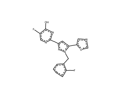 Oc1nc(-c2cc(-c3cnco3)n(Cc3ccccc3F)n2)ncc1F